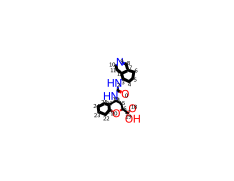 O=C(Nc1cccc2cnccc12)NC1CC(C(=O)O)Oc2ccccc21